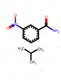 CC(C)C.NC(=O)c1cccc([N+](=O)[O-])c1